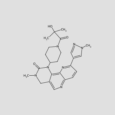 CN1Cc2cnc3ccc(-c4cnn(C)c4)nc3c2N(C2CCN(C(=O)C(C)(C)O)CC2)C1=O